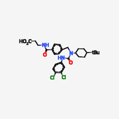 CC(C)(C)C1CCC(N(Cc2ccc(C(=O)NCCC(=O)O)cc2)C(=O)Nc2ccc(Cl)c(Cl)c2)CC1